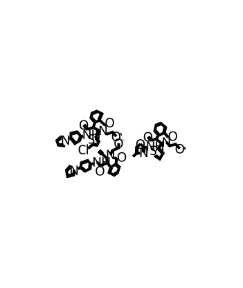 C#CC1C(C(=O)Nc2ccc(-n3cccc3)cc2)c2ccccc2C(=O)N1CCOC.COCCN1C(=O)c2ccccc2C(C(=O)Nc2ccc(-n3cccc3)cc2)C1c1ccc(Cl)s1.COCCN1C(=O)c2ccccc2C(C(=O)Nc2nc(C)co2)C1c1cccs1